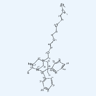 CCOCCOCCOCCOCC12CNC(C)N(C1)C(c1ccccc1)C(C)(c1ccccc1)C2